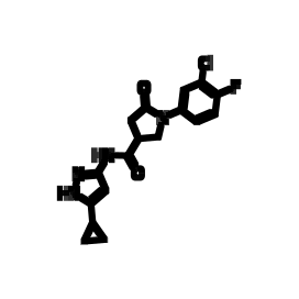 O=C(Nc1cc(C2CC2)[nH]n1)C1CC(=O)N(c2ccc(F)c(Cl)c2)C1